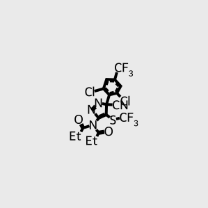 CCC(=O)N(C(=O)CC)C1=C(SC(F)(F)F)C(C#N)(c2c(Cl)cc(C(F)(F)F)cc2Cl)N=N1